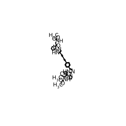 COC(=O)NCC(=O)N1CCC[C@@H]1c1ncc(C#CC#Cc2ccc(-c3cnc([C@H]4CCCN4C(=O)[C@@H](NC(=O)OC)C(C)C)[nH]3)cc2)[nH]1